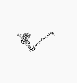 C[C@@H](C(=O)N[C@H](C(=O)N1CCC[C@H]1c1nc(C(=O)c2cccc(OCCOCCOCCOCCOCCN)c2)cs1)C1CCCCC1)N(C)C(=O)OC(=O)C(F)(F)F